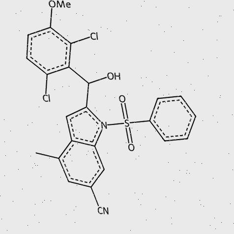 COc1ccc(Cl)c(C(O)c2cc3c(C)cc(C#N)cc3n2S(=O)(=O)c2ccccc2)c1Cl